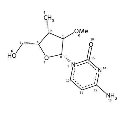 COC1[C@@H](C)[C@@H](CO)O[C@H]1n1ccc(N)nc1=O